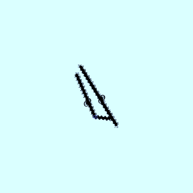 CCCCCCCC/C=C\CCCCCCCC(=O)OCCCCCCCCCCCCCCCC.CCCCCCCCCCCCCCCCCCCCCC(=O)OCCCCCCCCCCCCCCCC